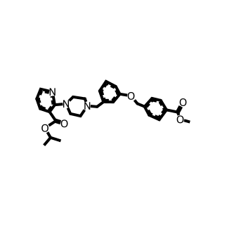 COC(=O)c1ccc(COc2cccc(CN3CCN(c4ncccc4C(=O)OC(C)C)CC3)c2)cc1